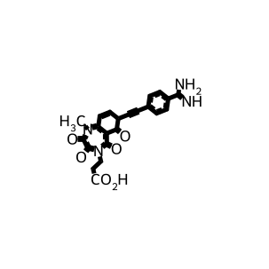 Cn1c2c(c(=O)n(CCC(=O)O)c(=O)c1=O)C(=O)C(C#Cc1ccc(C(=N)N)cc1)C=C2